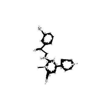 Cn1c(NCC(=O)c2cccc(C#N)c2)nc(-c2ccncc2)cc1=O